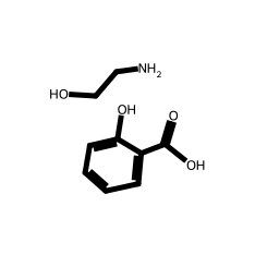 NCCO.O=C(O)c1ccccc1O